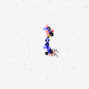 CC(=O)c1c(C)c2cnc(Nc3ccc(N4CCN(CC[S+]([O-])c5cccc6c5C(=O)N(C5CCC(=O)NC5=O)C6=O)CC4)cn3)nc2n(C2CCCC2)c1=O